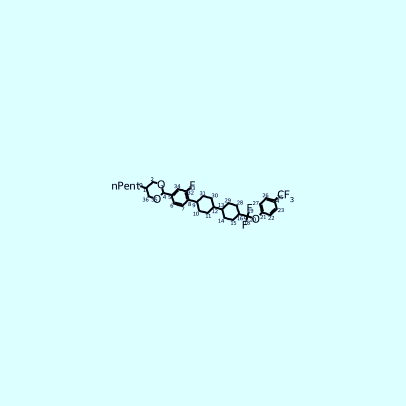 CCCCCC1COC(c2ccc(C3CCC(C4CCC(C(F)(F)Oc5ccc(C(F)(F)F)cc5)CC4)CC3)c(F)c2)OC1